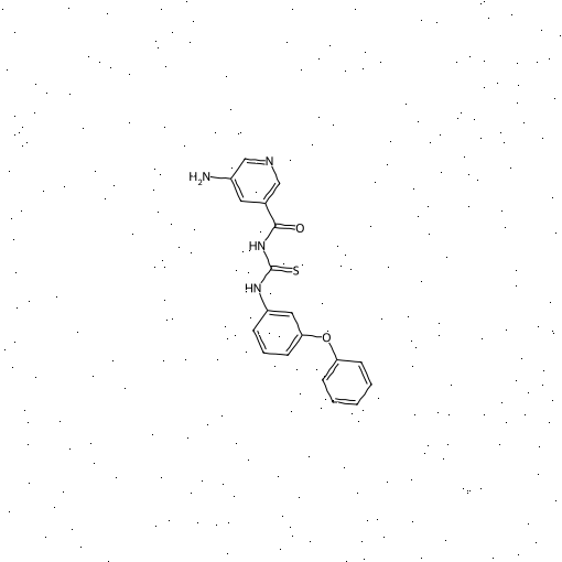 Nc1cncc(C(=O)NC(=S)Nc2cccc(Oc3ccccc3)c2)c1